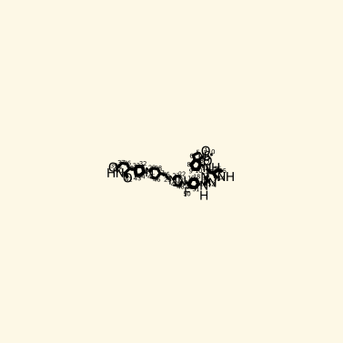 CS(=O)(=O)N1CCc2cccc(Nc3nc(Nc4ccc(N5CCN(CCC6CCN(c7ccc(C8CCC(=O)NC8=O)cc7)CC6)CC5)c(F)c4)nc4[nH]ccc34)c21